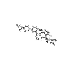 CCOc1nc(N2CCN(C(C)=O)CC2)ccc1NC(=O)c1coc2c1C(=O)N[C@@H]([C@@H](C)O)C2